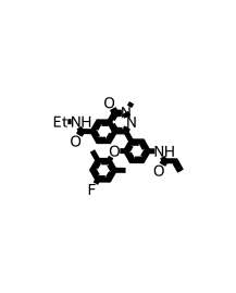 C=CC(=O)Nc1ccc(Oc2c(C)cc(F)cc2C)c(-c2nn(C)c(=O)c3cc(C(=O)NCC)ccc23)c1